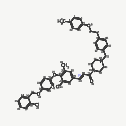 Cc1ccc(OCCc2ccc(CN3CCN(C(=O)/C=C/c4cc(C)c(Oc5ccc(OCc6ccccc6Cl)cn5)c(Cl)c4)CC3)cc2)cc1